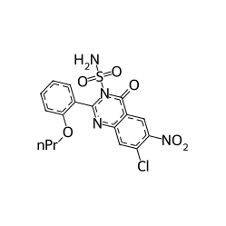 CCCOc1ccccc1-c1nc2cc(Cl)c([N+](=O)[O-])cc2c(=O)n1S(N)(=O)=O